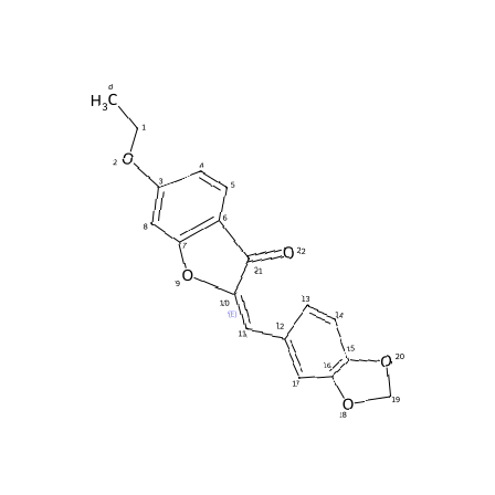 CCOc1ccc2c(c1)O/C(=C/c1ccc3c(c1)OCO3)C2=O